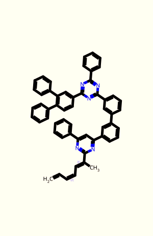 C=C/C=C\C=C(/C)c1nc(-c2ccccc2)cc(-c2cccc(-c3cccc(-c4nc(-c5ccccc5)nc(-c5ccc(-c6ccccc6)c(-c6ccccc6)c5)n4)c3)c2)n1